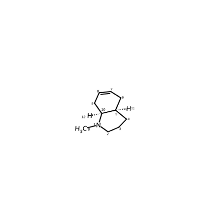 CN1CCC[C@@H]2CC=CC[C@@H]21